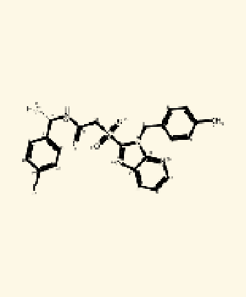 Cc1ccc(Cn2c(S(=O)(=O)CC(=O)N[C@@H](C)c3ccc(F)cc3)nc3cccnc32)cc1